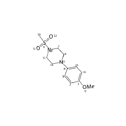 [CH2]Oc1ccc(N2CCN(S(C)(=O)=O)CC2)cc1